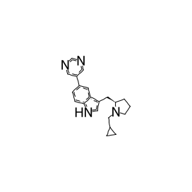 c1ncc(-c2ccc3[nH]cc(C[C@H]4CCCN4CC4CC4)c3c2)cn1